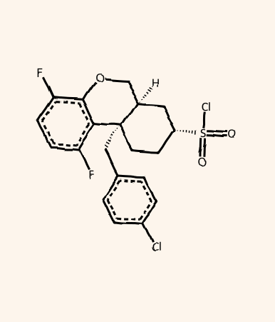 O=S(=O)(Cl)[C@@H]1CC[C@@]2(Cc3ccc(Cl)cc3)c3c(F)ccc(F)c3OC[C@H]2C1